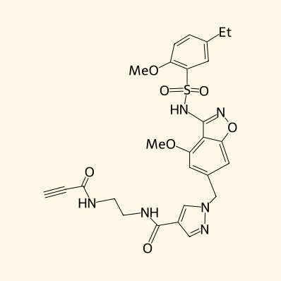 C#CC(=O)NCCNC(=O)c1cnn(Cc2cc(OC)c3c(NS(=O)(=O)c4cc(CC)ccc4OC)noc3c2)c1